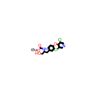 CC(C)(C)OC(=O)NC(CO)Cc1ccc(Oc2c(Cl)cncc2Cl)cc1